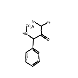 O=C(O)NC(C(=O)C(Br)Br)c1ccccc1